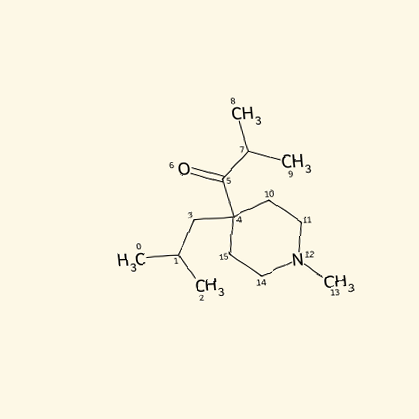 CC(C)CC1(C(=O)C(C)C)CCN(C)CC1